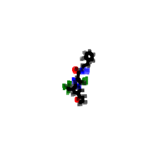 O=C(NCCc1ccccc1)c1nc2c(C(F)(F)F)cc(-c3ccco3)cn2c1Cl